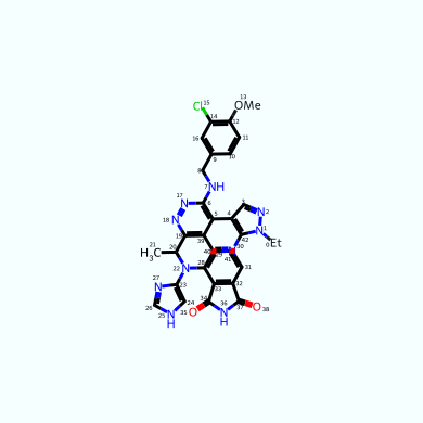 CCn1ncc2c3c(NCc4ccc(OC)c(Cl)c4)nnc(C(C)N(c4c[nH]cn4)c4cccc5c4C(=O)NC5=O)c3cnc21